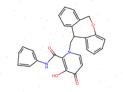 O=C(Nc1ccccc1)c1c(O)c(=O)ccn1CC1c2ccccc2COc2ccccc21